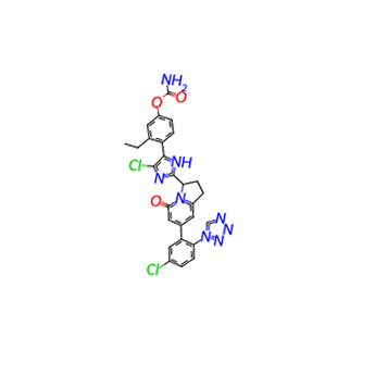 CCc1cc(OC(N)=O)ccc1-c1[nH]c(C2CCc3cc(-c4cc(Cl)ccc4-n4cnnn4)cc(=O)n32)nc1Cl